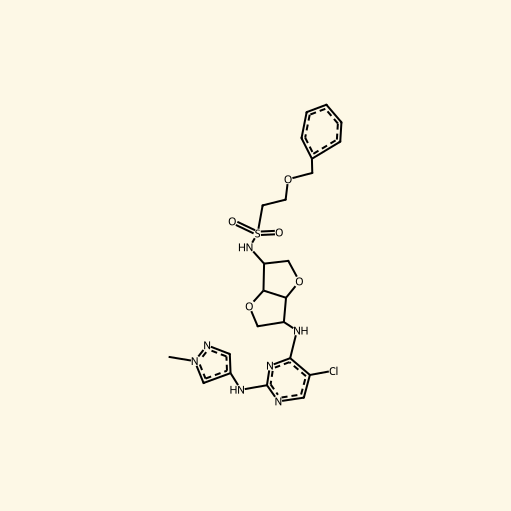 Cn1cc(Nc2ncc(Cl)c(NC3COC4C(NS(=O)(=O)CCOCc5ccccc5)COC34)n2)cn1